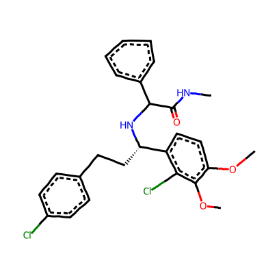 CNC(=O)C(N[C@@H](CCc1ccc(Cl)cc1)c1ccc(OC)c(OC)c1Cl)c1ccccc1